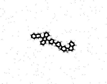 c1ccc2cc(-c3c4ccccc4c(-c4ccc(-c5ccc6c(c5)sc5cc7sc8ccc9ccccc9c8c7cc56)cc4)c4ccccc34)ccc2c1